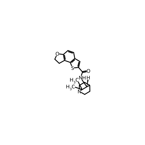 CC1(C)[C@H](NC(=O)c2cc3ccc4c(c3s2)CCO4)C2CCN1CC2